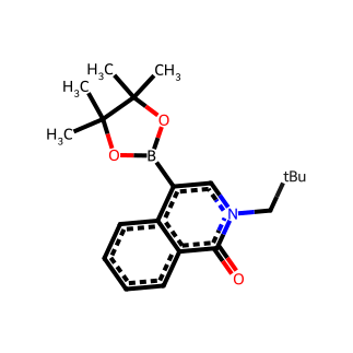 CC(C)(C)Cn1cc(B2OC(C)(C)C(C)(C)O2)c2ccccc2c1=O